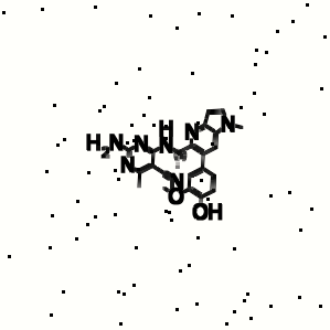 COc1cc(-c2cc3c(ccn3C)nc2[C@H](C)Nc2nc(N)nc(C)c2C#N)ccc1O